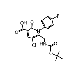 CC(C)(C)OC(=O)NCc1c(Cl)cc(C(=O)O)c(=O)n1-c1ccc(F)cc1